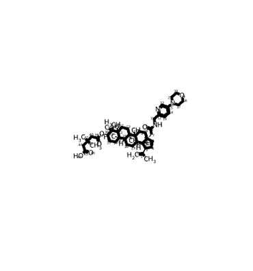 C=C(C)[C@@H]1CC[C@]2(CC(=O)NCc3ccc(N4CCOCC4)cn3)CC[C@]3(C)[C@H](CC[C@@H]4[C@@]5(C)CC[C@H](OC(=O)CC(C)(C)CC(=O)O)C(C)(C)[C@@H]5CC[C@]43C)[C@@H]12